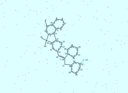 Cc1cc2c(c3ccccc13)-c1ccc(/C=C(/Cc3cccc(F)c3)c3ccccc3)cc1C2(C)C